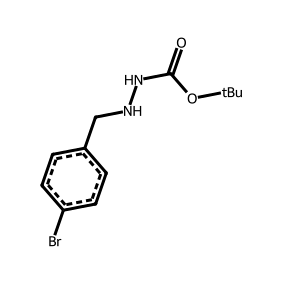 CC(C)(C)OC(=O)NNCc1ccc(Br)cc1